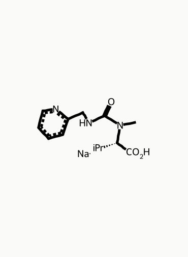 CC(C)[C@@H](C(=O)O)N(C)C(=O)NCc1ccccn1.[Na]